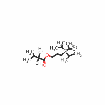 CC(C)C(C)(C)C(=O)OCCC[Si](C(C)C)(C(C)C)C(C)C